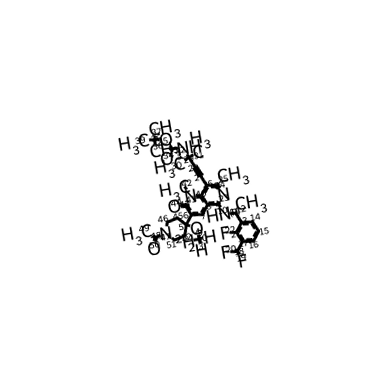 [2H]C([2H])([2H])OC1(c2cc3c(N[C@H](C)c4cccc(C(F)F)c4F)nc(C)c(C#CC(C)(C)NC(=O)OC(C)(C)C)c3n(C)c2=O)CCN(C(C)=O)CC1